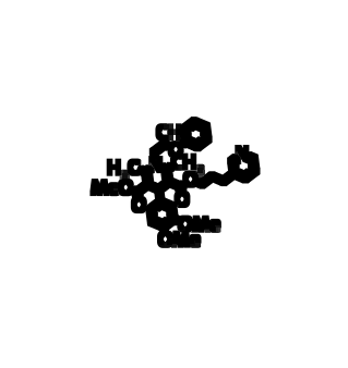 COC(=O)C1=C(C)N(CC(C)Oc2ccccc2)C(C)=C(C(=O)OCCCc2cccnc2)C1c1ccc(OC)c(OC)c1